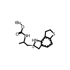 CC(C[C@@H]1Cc2ccc3c(c2N1)CCS3)NC(=O)OC(C)(C)C